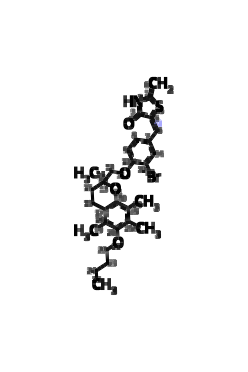 C=c1[nH]c(=O)/c(=C\c2ccc(OC[C@]3(C)CCc4c(C)c(OCCCC)c(C)c(C)c4O3)c(Br)c2)s1